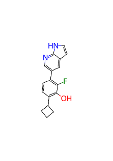 Oc1c(C2CCC2)ccc(-c2cnc3[nH]ccc3c2)c1F